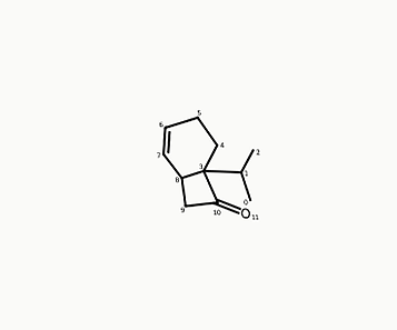 CC(C)C12CCC=CC1CC2=O